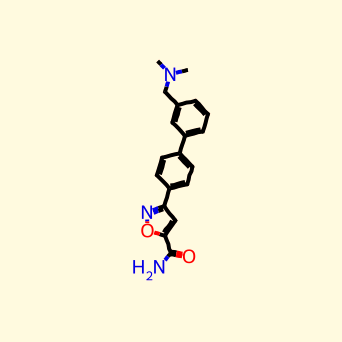 CN(C)Cc1cccc(-c2ccc(-c3cc(C(N)=O)on3)cc2)c1